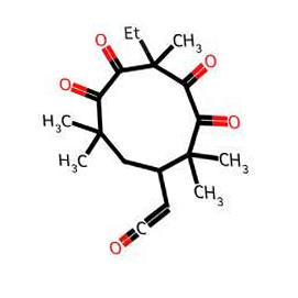 CCC1(C)C(=O)C(=O)C(C)(C)CC(C=C=O)C(C)(C)C(=O)C1=O